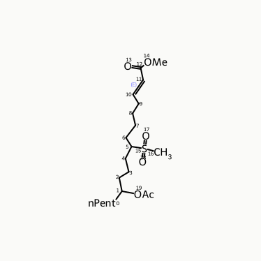 CCCCCC(CCCC(CCCC/C=C/C(=O)OC)S(C)(=O)=O)OC(C)=O